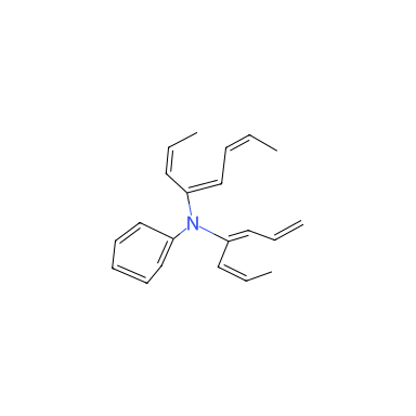 C=C/C=C(\C=C/C)N(C(/C=C\C)=C/C=C\C)c1ccccc1